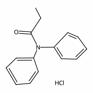 CCC(=O)N(c1ccccc1)c1ccccc1.Cl